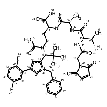 CC(=O)N(CC[C@H](NC(=O)[C@H](C)NC(=O)[C@@H](NC(=O)CN1C(=O)C=CC1=O)C(C)C)C(=O)O)[C@@H](c1cc(-c2cc(F)ccc2F)cn1Cc1ccccc1)C(C)(C)C